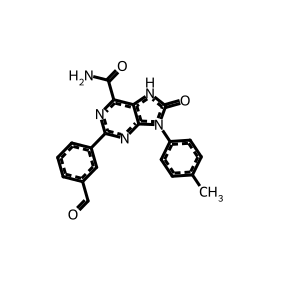 Cc1ccc(-n2c(=O)[nH]c3c(C(N)=O)nc(-c4cccc(C=O)c4)nc32)cc1